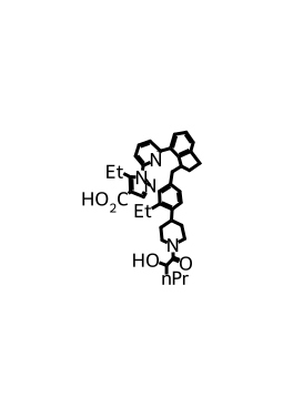 CCCC(O)C(=O)N1CCC(c2ccc(CC3CCc4cccc(-c5cccc(-n6ncc(C(=O)O)c6CC)n5)c43)cc2CC)CC1